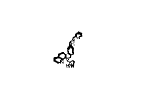 c1ccc(CNCc2ccc(CN(C[C@@H]3CCCN3)C3CCCc4cccnc43)cc2)nc1